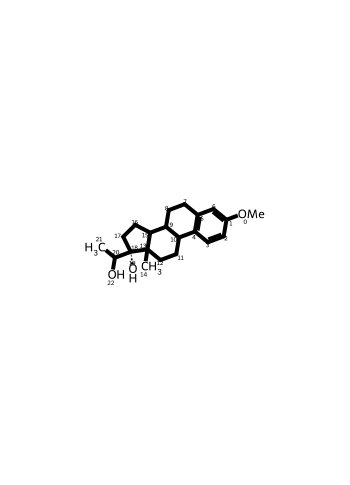 COc1ccc2c(c1)CCC1C2CCC2(C)C1CC[C@]2(O)C(C)O